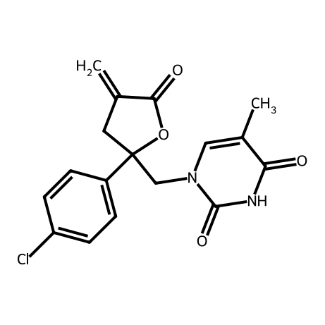 C=C1CC(Cn2cc(C)c(=O)[nH]c2=O)(c2ccc(Cl)cc2)OC1=O